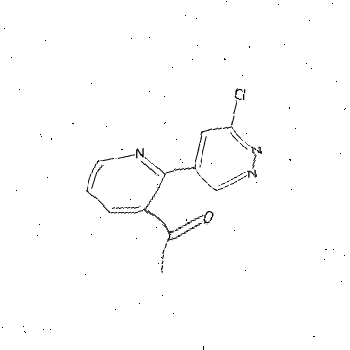 CC(=O)c1cccnc1-c1cnnc(Cl)c1